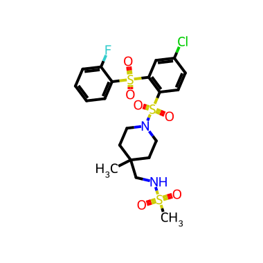 CC1(CNS(C)(=O)=O)CCN(S(=O)(=O)c2ccc(Cl)cc2S(=O)(=O)c2ccccc2F)CC1